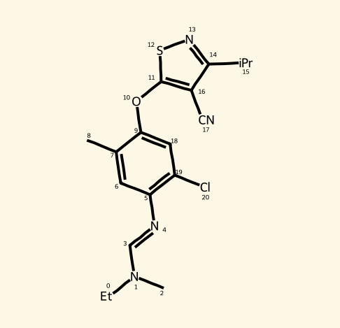 CCN(C)C=Nc1cc(C)c(Oc2snc(C(C)C)c2C#N)cc1Cl